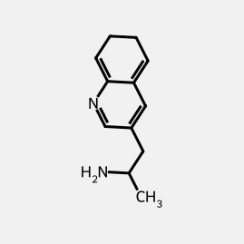 CC(N)Cc1cnc2c(c1)=CCCC=2